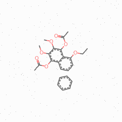 CCOc1cccc2c(OC(C)=O)c(OC)c(OC)c(OC(C)=O)c12.c1ccccc1